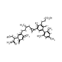 CCOC(=O)CCc1c(F)c(-c2c(C)cc(C)cc2C)cc(C2CC2CN(C)CCc2cn(C(CC(C)C)C(N)=O)c(=O)cc2C(F)(F)F)c1F